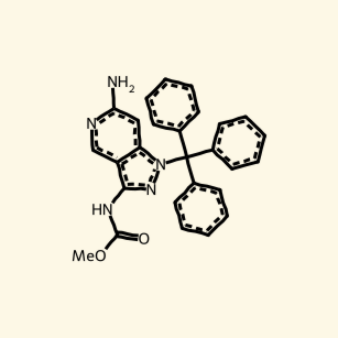 COC(=O)Nc1nn(C(c2ccccc2)(c2ccccc2)c2ccccc2)c2cc(N)ncc12